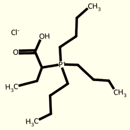 CCCC[P+](CCCC)(CCCC)C(CC)C(=O)O.[Cl-]